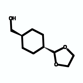 OC[C@H]1CC[C@H](C2OCCO2)CC1